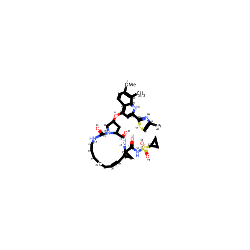 COc1ccc2c(OC3CC4C(=O)NC5(C(=O)NS(=O)(=O)C6CC6)CC5/C=C\CCCCCNC(=O)N4C3)cc(-c3nc(C(C)C)cs3)nc2c1C